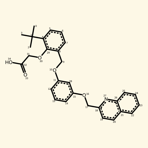 CC(C)(C)c1cccc(COc2cccc(OCc3ccc4ccccc4n3)c2)c1OCC(=O)O